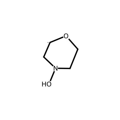 ON1C[CH]OCC1